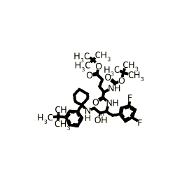 CC(C)(C)OC(=O)CCC(NC(=O)OC(C)(C)C)C(=O)NC(Cc1cc(F)cc(F)c1)[C@@H](O)CNC1(c2cccc(C(C)(C)C)c2)CCCCC1